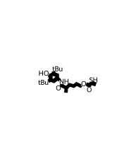 C=C(S)C(=O)OCCCCC(C)C(=O)Nc1cc(C(C)(C)C)c(O)c(C(C)(C)C)c1